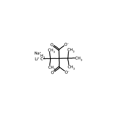 CC(C)(C)C(C(=O)[O-])(C(=O)[O-])C(C)(C)C.[Li+].[Na+]